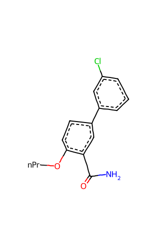 CCCOc1ccc(-c2cccc(Cl)c2)cc1C(N)=O